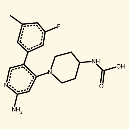 Cc1cc(F)cc(-c2cnc(N)cc2N2CCC(NC(=O)O)CC2)c1